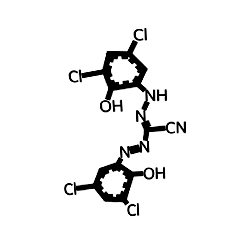 N#CC(N=Nc1cc(Cl)cc(Cl)c1O)=NNc1cc(Cl)cc(Cl)c1O